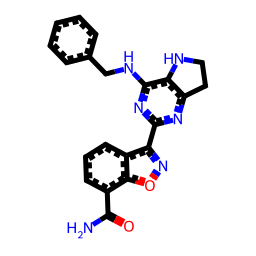 NC(=O)c1cccc2c(-c3nc4c(c(NCc5ccccc5)n3)NCC4)noc12